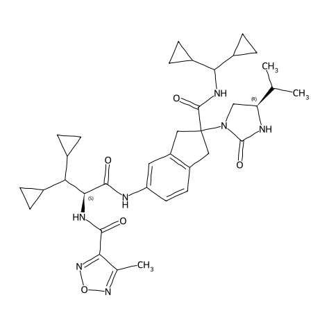 Cc1nonc1C(=O)N[C@H](C(=O)Nc1ccc2c(c1)CC(C(=O)NC(C1CC1)C1CC1)(N1C[C@@H](C(C)C)NC1=O)C2)C(C1CC1)C1CC1